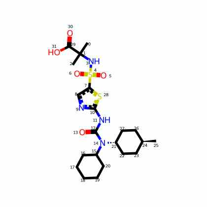 CC(C)(NS(=O)(=O)c1cnc(NC(=O)N(C2CCCCC2)[C@H]2CC[C@H](C)CC2)s1)C(=O)O